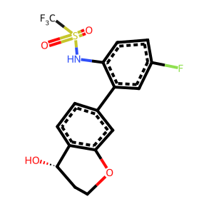 O=S(=O)(Nc1ccc(F)cc1-c1ccc2c(c1)OCC[C@@H]2O)C(F)(F)F